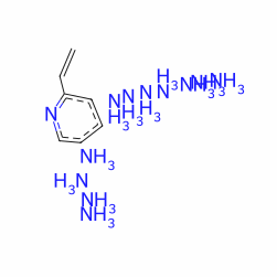 C=Cc1ccccn1.N.N.N.N.N.N.N.N.N.N.N